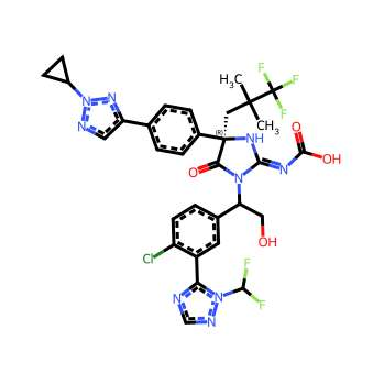 CC(C)(C[C@]1(c2ccc(-c3cnn(C4CC4)n3)cc2)NC(=NC(=O)O)N(C(CO)c2ccc(Cl)c(-c3ncnn3C(F)F)c2)C1=O)C(F)(F)F